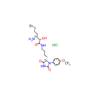 CCSCC[C@@H](N)C(O)C(=O)NCCCC[C@H]1C(=O)NC(=O)N1c1ccc(OC(F)(F)F)cc1.Cl